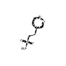 NS(=O)(=O)CCc1ccnnc1